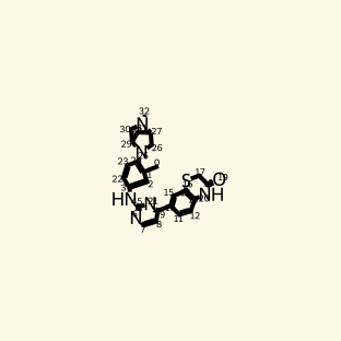 Cc1cc(Nc2nccc(-c3ccc4c(c3)SCC(=O)N4)n2)ccc1N1CC2CC1CN2C